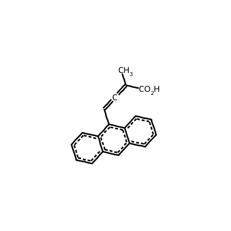 CC(=C=Cc1c2ccccc2cc2ccccc12)C(=O)O